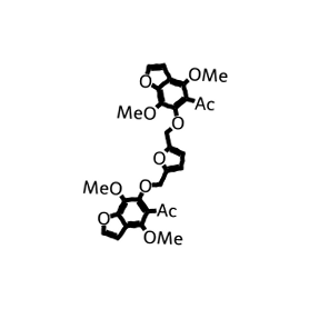 COc1c(C(C)=O)c(OCc2ccc(COc3c(C(C)=O)c(OC)c4ccoc4c3OC)o2)c(OC)c2occc12